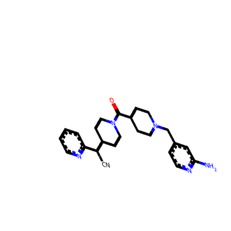 N#CC(c1ccccn1)C1CCN(C(=O)C2CCN(Cc3ccnc(N)c3)CC2)CC1